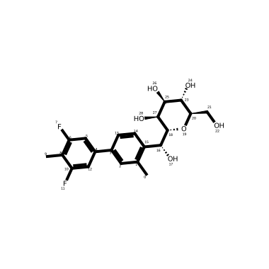 Cc1cc(-c2cc(F)c(C)c(F)c2)ccc1[C@@H](O)[C@H]1O[C@H](CO)[C@@H](O)[C@H](O)[C@@H]1O